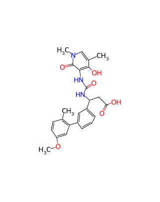 COc1ccc(C)c(-c2cccc(C(CC(=O)O)NC(=O)Nc3c(O)c(C)cn(C)c3=O)c2)c1